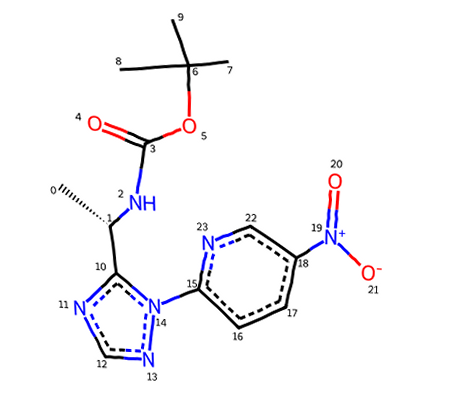 C[C@H](NC(=O)OC(C)(C)C)c1ncnn1-c1ccc([N+](=O)[O-])cn1